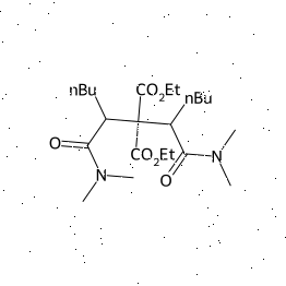 CCCCC(C(=O)N(C)C)C(C(=O)OCC)(C(=O)OCC)C(CCCC)C(=O)N(C)C